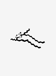 C=CC=CCCCCCCCCC(CCCCC)C(OC)OC(OC)C(CCCCC)CCCCCCCCC=CC=C